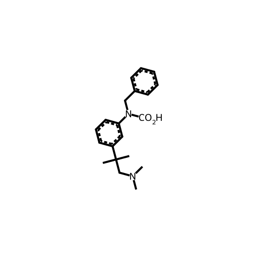 CN(C)CC(C)(C)c1cccc(N(Cc2ccccc2)C(=O)O)c1